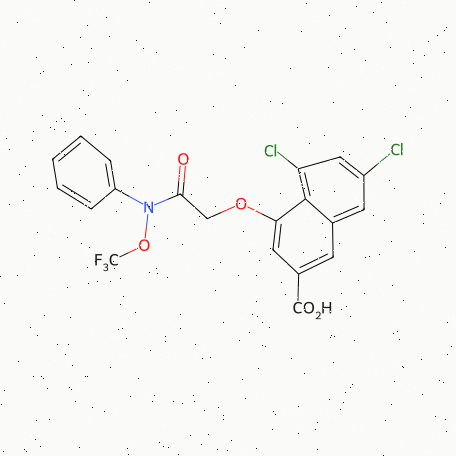 O=C(O)c1cc(OCC(=O)N(OC(F)(F)F)c2ccccc2)c2c(Cl)cc(Cl)cc2c1